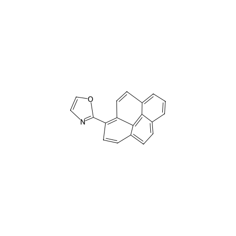 c1cc2ccc3ccc(-c4ncco4)c4ccc(c1)c2c34